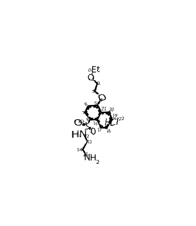 CCOCCOc1ccc(S(=O)(=O)NCCN)c2ccccc12.Cl